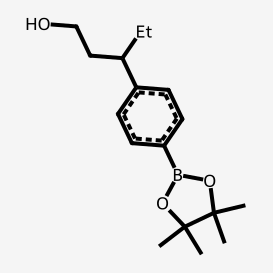 CCC(CCO)c1ccc(B2OC(C)(C)C(C)(C)O2)cc1